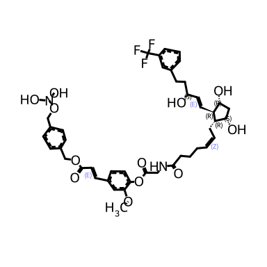 COc1cc(/C=C/C(=O)OCc2ccc(CON(O)O)cc2)ccc1OC(=O)CNC(=O)CCC/C=C\C[C@@H]1[C@@H](/C=C/[C@@H](O)CCc2cccc(C(F)(F)F)c2)[C@H](O)C[C@@H]1O